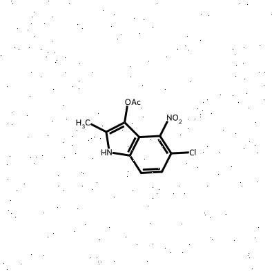 CC(=O)Oc1c(C)[nH]c2ccc(Cl)c([N+](=O)[O-])c12